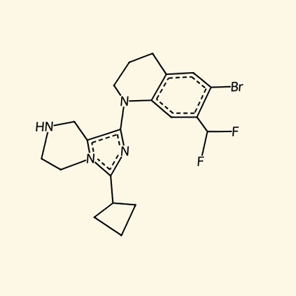 FC(F)c1cc2c(cc1Br)CCCN2c1nc(C2CCC2)n2c1CNCC2